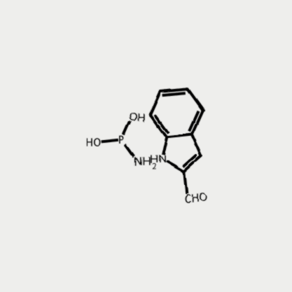 NP(O)O.O=Cc1cc2ccccc2[nH]1